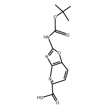 CC(C)(C)OC(=O)Nc1nc2nc(C(=O)O)ccc2o1